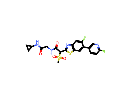 CS(=O)(=O)C(C(=O)NCC(=O)NC1CC1)c1nc2cc(F)c(-c3ccc(F)nc3)cc2s1